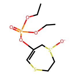 CCOP(=O)(OCC)OC1=CSCC[S+]([O-])C1